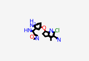 Cc1c(C#N)c(Cl)nc2c1CCC2Oc1ccc(N)c(C(=N)c2cnco2)c1